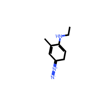 CCNC1=CCC(=[N+]=[N-])C=C1C